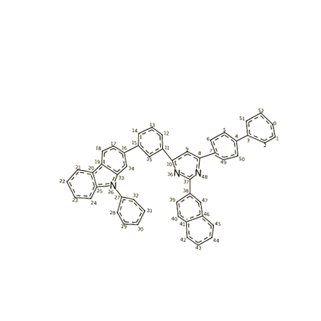 c1ccc(-c2ccc(-c3cc(-c4cccc(-c5ccc6c7ccccc7n(-c7ccccc7)c6c5)c4)nc(-c4ccc5ccccc5c4)n3)cc2)cc1